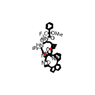 CO[C@@](C(=O)NC1Cc2ccc3c(c2)C24c5cccc(c5N[C@H]2O3)-c2cccc3c2C(=CC3)c2cnc(o2)-c2nc(oc24)[C@H](C(C)C)NC1=O)(c1ccccc1)C(F)(F)F